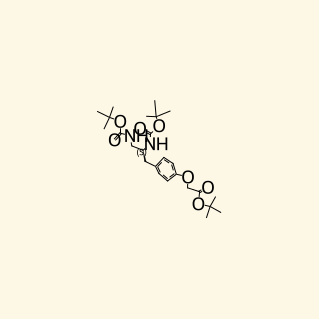 CC(C)(C)OC(=O)COc1ccc(C[C@@H](CNC(=O)OC(C)(C)C)NC(=O)OC(C)(C)C)cc1